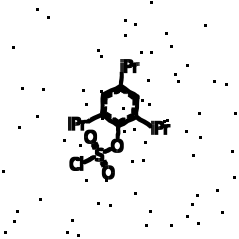 CC(C)c1cc(C(C)C)c(OS(=O)(=O)Cl)c(C(C)C)c1